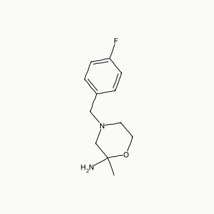 CC1(N)CN(Cc2ccc(F)cc2)CCO1